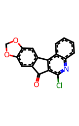 O=C1c2cc3c(cc2-c2c1c(Cl)nc1ccccc21)OCO3